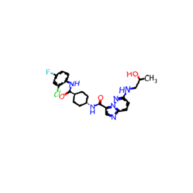 CC(O)CNc1ccc2ncc(C(=O)N[C@H]3CC[C@H](C(=O)Nc4ccc(F)cc4Cl)CC3)n2n1